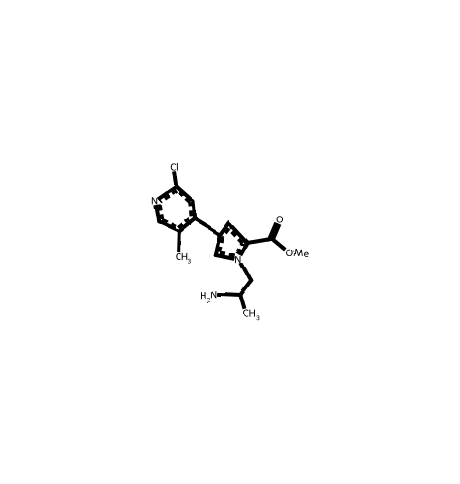 COC(=O)c1cc(-c2cc(Cl)ncc2C)cn1CC(C)N